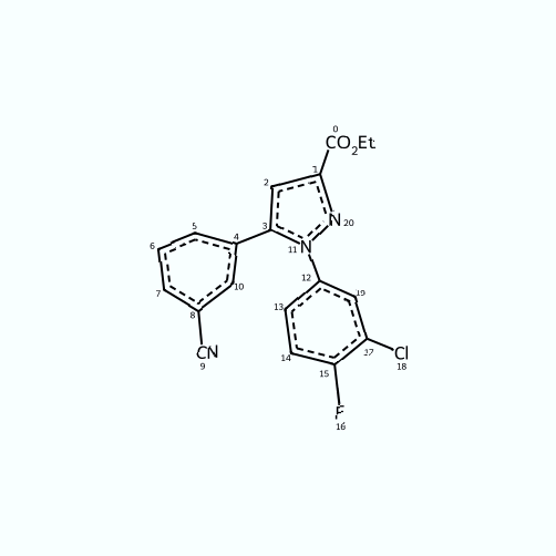 CCOC(=O)c1cc(-c2cccc(C#N)c2)n(-c2ccc(F)c(Cl)c2)n1